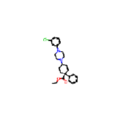 CCOC(=O)C1(c2ccccc2)C=CC(N2CCN(c3cccc(Cl)c3)CC2)CC1